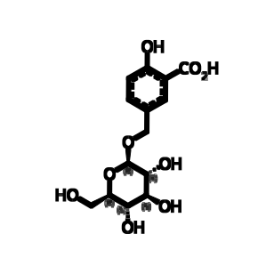 O=C(O)c1cc(CO[C@@H]2O[C@H](CO)[C@@H](O)[C@H](O)[C@H]2O)ccc1O